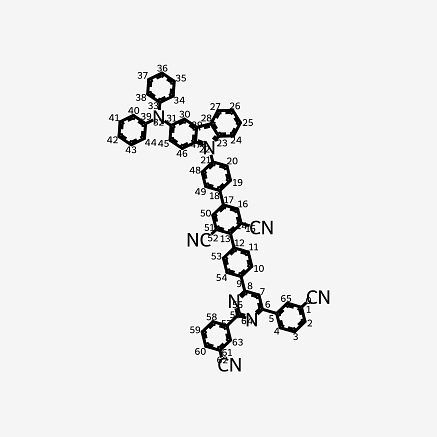 N#Cc1cccc(-c2cc(-c3ccc(-c4c(C#N)cc(-c5ccc(-n6c7ccccc7c7cc(N(c8ccccc8)c8ccccc8)ccc76)cc5)cc4C#N)cc3)nc(-c3cccc(C#N)c3)n2)c1